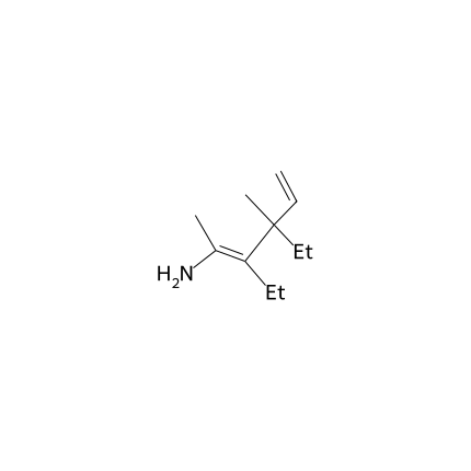 C=CC(C)(CC)/C(CC)=C(\C)N